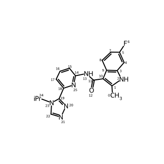 Cc1[nH]c2cc(F)ccc2c1C(=O)Nc1cccc(-c2nncn2C(C)C)n1